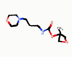 CC1(OC(=O)NCCCN2CCOCC2)COC1